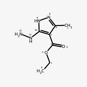 CCOC(=O)c1c(C)n[nH]c1NN